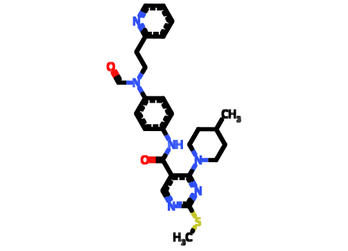 CSc1ncc(C(=O)Nc2ccc(N(C=O)CCc3ccccn3)cc2)c(N2CCC(C)CC2)n1